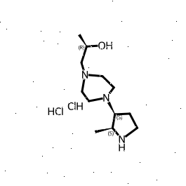 C[C@@H]1NCC[C@@H]1N1CCN(C[C@@H](C)O)CC1.Cl.Cl